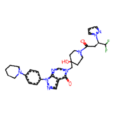 O=C(C[C@H](C(F)F)n1cccn1)N1CCC(O)(Cn2cnc3c(cnn3-c3ccc(N4CCCCC4)cc3)c2=O)CC1